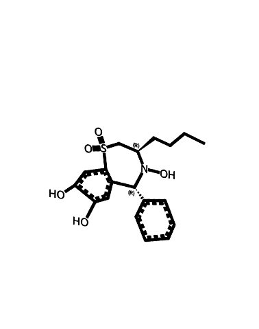 CCCC[C@@H]1CS(=O)(=O)c2cc(O)c(O)cc2[C@@H](c2ccccc2)N1O